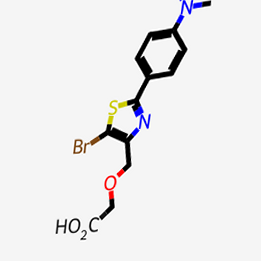 CN(C)c1ccc(-c2nc(COCC(=O)O)c(Br)s2)cc1